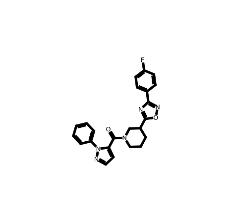 O=C(c1ccnn1-c1ccccc1)N1CCCC(c2nc(-c3ccc(F)cc3)no2)C1